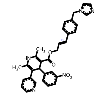 CC1=C(C(=O)OC/C=C/c2ccc(Cn3ccnc3)cc2)C(c2cccc([N+](=O)[O-])c2)C(c2cccnc2)=C(C)N1